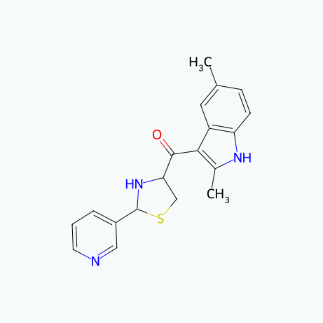 Cc1ccc2[nH]c(C)c(C(=O)C3CSC(c4cccnc4)N3)c2c1